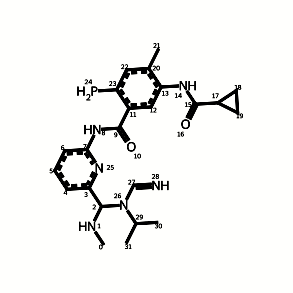 CNC(c1cccc(NC(=O)c2cc(NC(=O)C3CC3)c(C)cc2P)n1)N(C=N)C(C)C